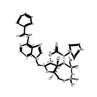 CC(C)[Si]1(C(C)C)OC[C@H]2O[C@@H](Cn3cnc4c(NC(=O)c5ccccc5)ncnc43)[C@H](OC(=O)Sn3ccnc3)[C@@H]2O[Si](C(C)C)(C(C)C)O1